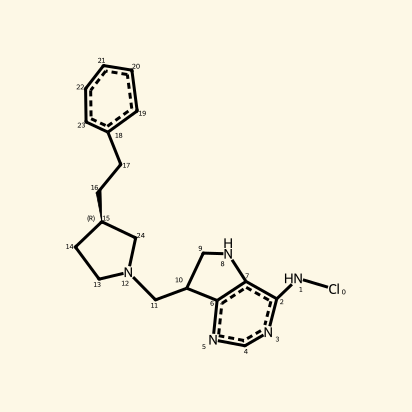 ClNc1ncnc2c1NCC2CN1CC[C@@H](CCc2ccccc2)C1